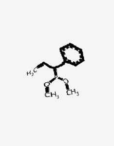 C=CC(c1ccccc1)P(OC)OC